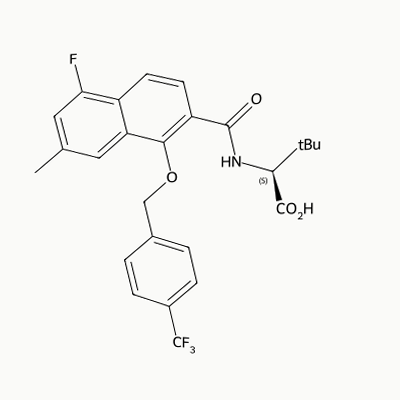 Cc1cc(F)c2ccc(C(=O)N[C@H](C(=O)O)C(C)(C)C)c(OCc3ccc(C(F)(F)F)cc3)c2c1